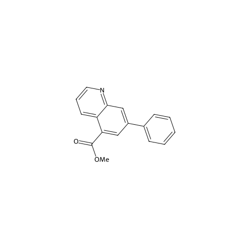 COC(=O)c1cc(-c2ccccc2)cc2ncccc12